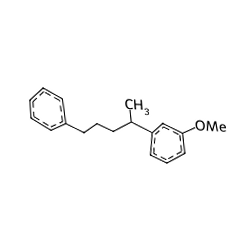 COc1cccc(C(C)CCCc2ccccc2)c1